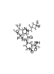 COC1(c2nn(CC3(C)CC(F)(F)C3)c(C(=O)Nc3cc[n+]([O-])c(S(C)(=N)=O)c3)c2C(F)(F)F)CC1